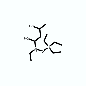 CC[SiH](O[Si](CC)(CC)CC)C(O)CC(C)O